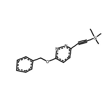 C[Si](C)(C)C#Cc1ccc(OCc2ccccc2)nn1